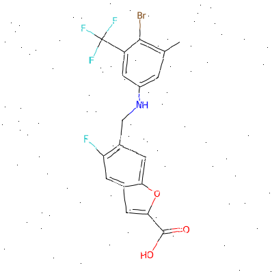 Cc1cc(NCc2cc3oc(C(=O)O)cc3cc2F)cc(C(F)(F)F)c1Br